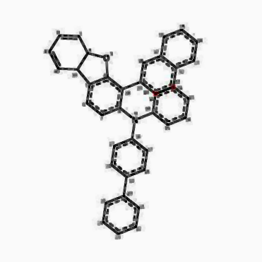 C1=CC2Oc3c(ccc(N(c4ccccc4)c4ccc(-c5ccccc5)cc4)c3-c3ccc4ccccc4c3)C2C=C1